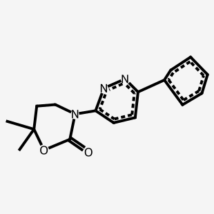 CC1(C)CCN(c2ccc(-c3ccccc3)nn2)C(=O)O1